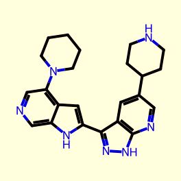 c1nc2[nH]nc(-c3cc4c(N5CCCCC5)cncc4[nH]3)c2cc1C1CCNCC1